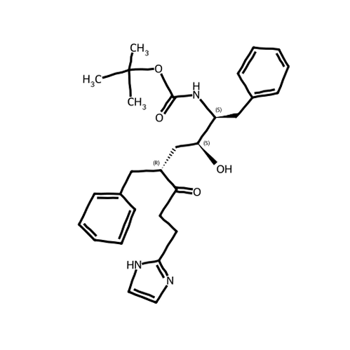 CC(C)(C)OC(=O)N[C@@H](Cc1ccccc1)[C@@H](O)C[C@@H](Cc1ccccc1)C(=O)CCc1ncc[nH]1